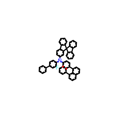 Fc1ccc(-c2cccc3cccc(-c4ccc(N(c5ccc(-c6ccccc6)cc5)c5ccc6c(c5)C5(c7ccccc7-c7ccccc75)c5ccccc5-6)cc4)c23)cc1